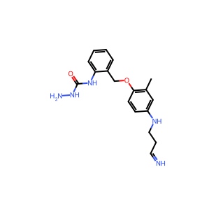 Cc1cc(NCCC=N)ccc1OCc1ccccc1NC(=O)NN